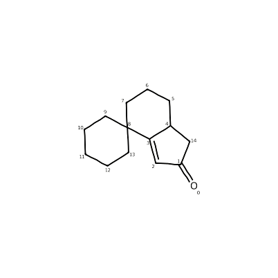 O=C1C=C2C(CCCC23CCCCC3)C1